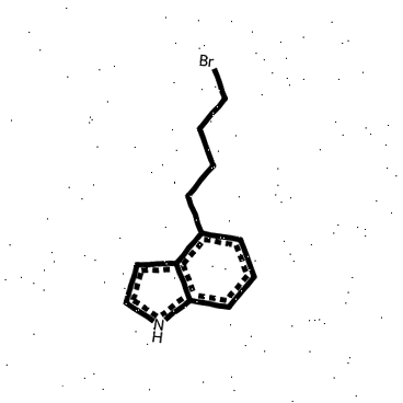 BrCCCCc1cccc2[nH]ccc12